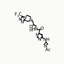 CC(=O)N1CC(Nc2cc(C(=O)NC[C@H](O)CN3CCn4c(nnc4C(F)(F)F)C3)ncn2)C1